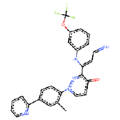 Cc1cc(-c2ccccn2)ccc1-n1ccc(=O)c(/C(=C/C=N)Nc2cccc(OC(F)(F)F)c2)n1